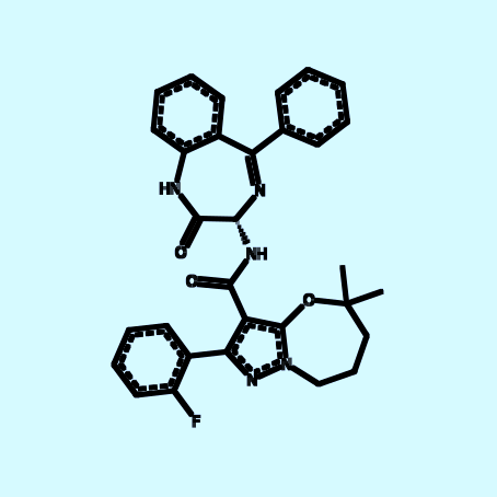 CC1(C)CCCn2nc(-c3ccccc3F)c(C(=O)N[C@H]3N=C(c4ccccc4)c4ccccc4NC3=O)c2O1